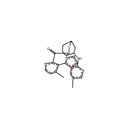 Cc1ccc(NC2CC3CCC2N(C(=O)c2nccc(C)c2-c2nccs2)C3)nc1